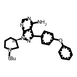 CC(C)(C)N1CCC[C@@H](n2nc(-c3ccc(Oc4ccccc4)cc3)c3c(N)ncnc32)C1